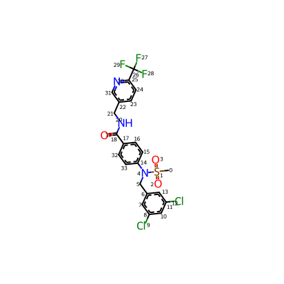 CS(=O)(=O)N(Cc1cc(Cl)cc(Cl)c1)c1ccc(C(=O)NCc2ccc(C(F)(F)F)nc2)cc1